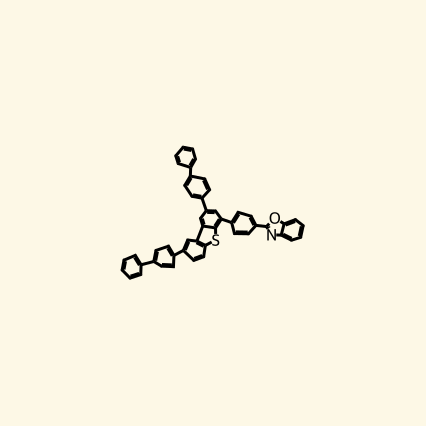 c1ccc(-c2ccc(-c3ccc4sc5c(-c6ccc(-c7nc8ccccc8o7)cc6)cc(-c6ccc(-c7ccccc7)cc6)cc5c4c3)cc2)cc1